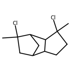 CC1(Cl)CC2CC1C1C2CCC1(C)Cl